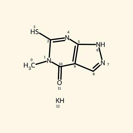 Cn1c(S)nc2[nH]ncc2c1=O.[KH]